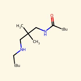 CC(C)(C)CNCC(C)(C)CNC(=O)C(C)(C)C